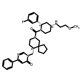 COCCN[C@@H]1CCN(C(=O)N2CC[C@@H](Cn3cnc(-c4ccccc4)cc3=O)C3(CCCC3)C2)[C@H](c2cccc(F)c2)C1